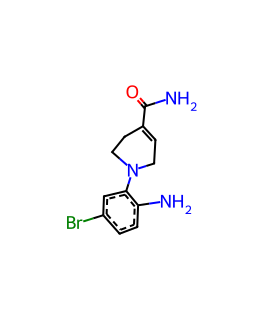 NC(=O)C1=CCN(c2cc(Br)ccc2N)CC1